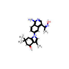 C/C(=N/O)c1cnc(N)c2ccc(-n3cc(C)c4c3CC(C)(C)CC4=O)cc12